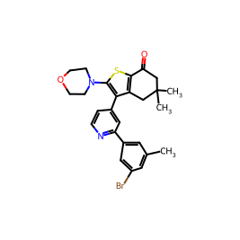 Cc1cc(Br)cc(-c2cc(-c3c(N4CCOCC4)sc4c3CC(C)(C)CC4=O)ccn2)c1